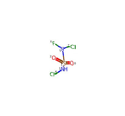 O=S(=O)(NCl)N(F)Cl